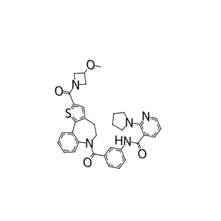 COC1CN(C(=O)c2cc3c(s2)-c2ccccc2N(C(=O)c2cccc(NC(=O)c4cccnc4N4CCCC4)c2)CC3)C1